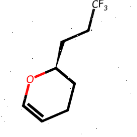 FC(F)(F)[CH]C[C@H]1CCC=CO1